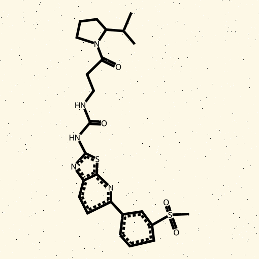 CC(C)C1CCCN1C(=O)CCNC(=O)Nc1nc2ccc(-c3cccc(S(C)(=O)=O)c3)nc2s1